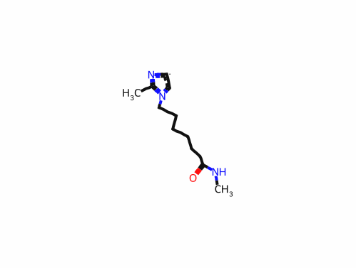 CNC(=O)CCCCCCn1c[c]nc1C